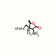 BC1C(=O)OC(=C)C1(B)CCCCCCC